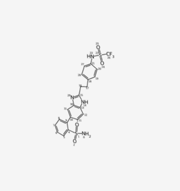 NS(=O)(=O)c1ccccc1-c1ccc2[nH]c(CCc3ccc(NS(=O)(=O)C(F)(F)F)cc3)nc2c1